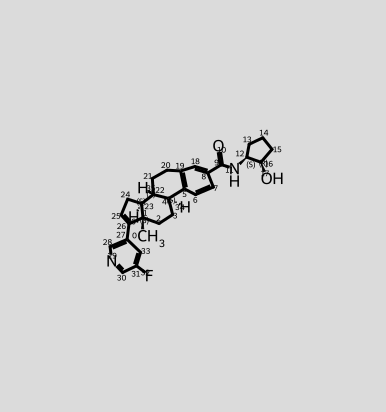 C[C@]12CC[C@@H]3c4ccc(C(=O)N[C@H]5CCC[C@H]5O)cc4CC[C@H]3[C@@H]1CC=C2c1cncc(F)c1